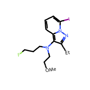 CCc1nn2c(I)cccc2c1N(CCCF)CCOC